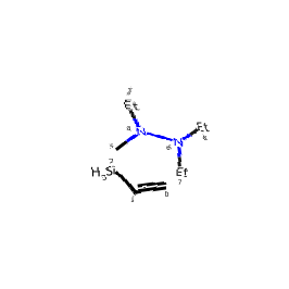 C=C[SiH3].CCN(C)N(CC)CC